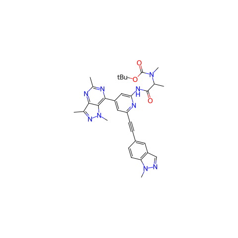 Cc1nc(-c2cc(C#Cc3ccc4c(cnn4C)c3)nc(NC(=O)C(C)N(C)C(=O)OC(C)(C)C)c2)c2c(n1)c(C)nn2C